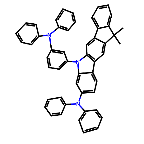 CC1(C)c2ccccc2-c2cc3c(cc21)c1ccc(N(c2ccccc2)c2ccccc2)cc1n3-c1cccc(N(c2ccccc2)c2ccccc2)c1